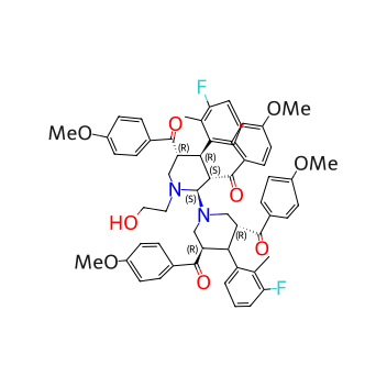 COc1ccc(C(=O)[C@H]2[C@H](c3cccc(F)c3C)[C@@H](C(=O)c3ccc(OC)cc3)CN(CCO)[C@@H]2N2C[C@H](C(=O)c3ccc(OC)cc3)C(c3cccc(F)c3C)[C@@H](C(=O)c3ccc(OC)cc3)C2)cc1